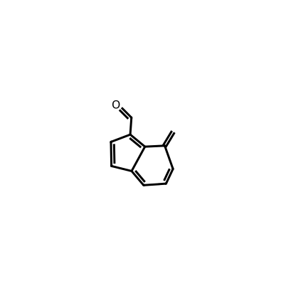 C=c1cccc2c1=C(C=O)C=C2